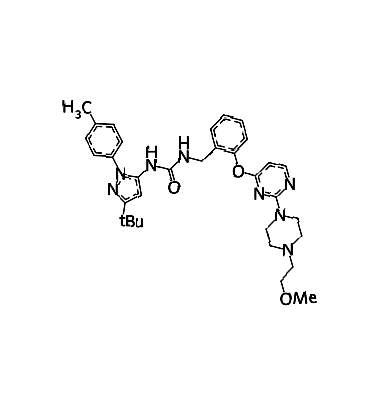 COCCN1CCN(c2nccc(Oc3ccccc3CNC(=O)Nc3cc(C(C)(C)C)nn3-c3ccc(C)cc3)n2)CC1